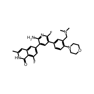 Cc1cc2cc(-c3cc(-c4ccc(N5CCOCC5)c(CN(C)C)c4)c(F)nc3N)cc(F)c2c(=O)[nH]1